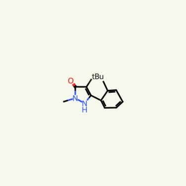 Cc1ccccc1-c1[nH]n(C)c(=O)c1C(C)(C)C